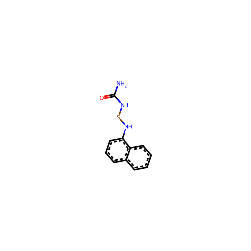 NC(=O)NSNc1cccc2ccccc12